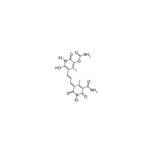 CCN1C(=O)C(=CC=Cc2c(C)c(OC(N)=O)c(=O)n(CC)c2O)C(C)=C(C(N)=O)C1=O